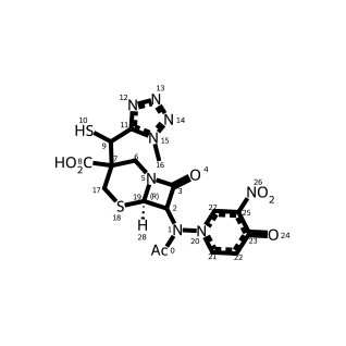 CC(=O)N(C1C(=O)N2CC(C(=O)O)(C(S)c3nnnn3C)CS[C@H]12)n1ccc(=O)c([N+](=O)[O-])c1